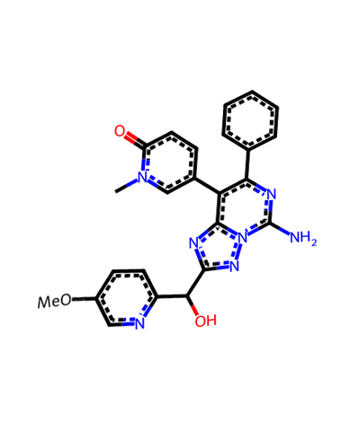 COc1ccc(C(O)c2nc3c(-c4ccc(=O)n(C)c4)c(-c4ccccc4)nc(N)n3n2)nc1